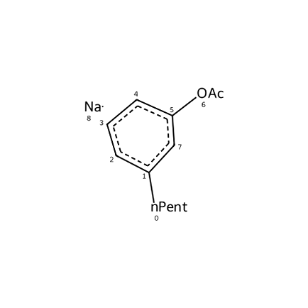 CCCCCc1cccc(OC(C)=O)c1.[Na]